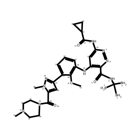 BC(B)(B)NC(=O)c1nnc(NC(=O)C2CC2)cc1Nc1cccc(-c2cc(C(=O)N3CCN(C)CC3)n(C)n2)c1OC